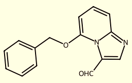 O=Cc1cnc2cccc(OCc3ccccc3)n12